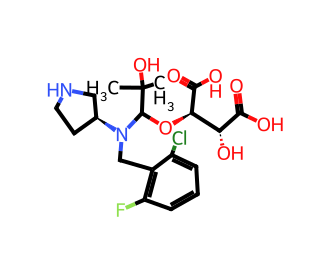 CC(C)(O)C(O[C@@H](C(=O)O)[C@@H](O)C(=O)O)N(Cc1c(F)cccc1Cl)[C@H]1CCNC1